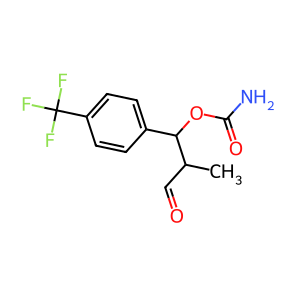 CC(C=O)C(OC(N)=O)c1ccc(C(F)(F)F)cc1